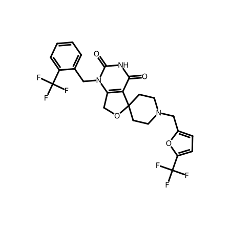 O=c1[nH]c(=O)n(Cc2ccccc2C(F)(F)F)c2c1C1(CCN(Cc3ccc(C(F)(F)F)o3)CC1)OC2